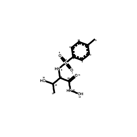 Cc1ccc(S(=O)(=O)NC(C(=O)NO)C(C)O)cc1